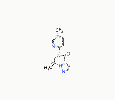 C[C@H]1CN(c2ccc(C(F)(F)F)cn2)C(=O)c2ccnn21